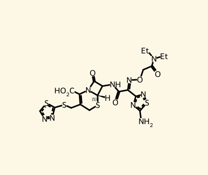 CCN(CC)C(=O)CON=C(C(=O)NC1C(=O)N2C(C(=O)O)=C(CSc3nncs3)CS[C@@H]12)c1nsc(N)n1